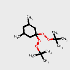 CC1CC(C)CC(OOC(C)(C)C)(OOC(C)(C)C)C1